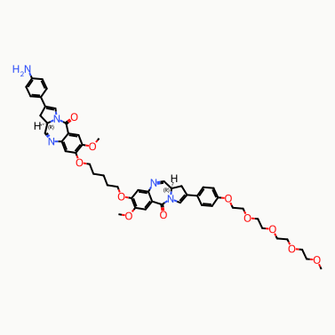 COCCOCCOCCOCCOc1ccc(C2=CN3C(=O)c4cc(OC)c(OCCCCCOc5cc6c(cc5OC)C(=O)N5C=C(c7ccc(N)cc7)C[C@@H]5C=N6)cc4N=C[C@H]3C2)cc1